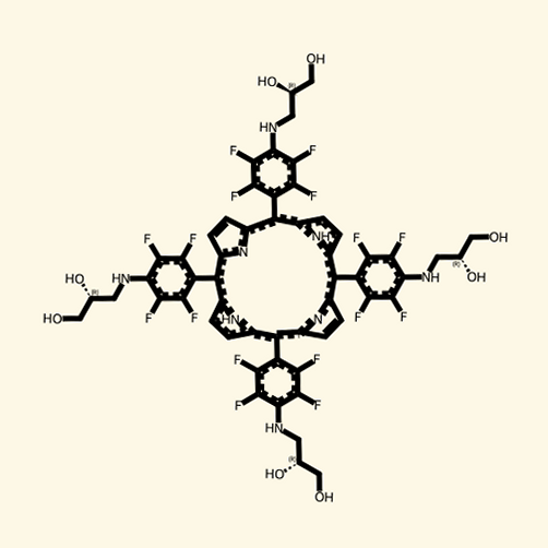 OC[C@H](O)CNc1c(F)c(F)c(-c2c3nc(c(-c4c(F)c(F)c(NC[C@@H](O)CO)c(F)c4F)c4ccc([nH]4)c(-c4c(F)c(F)c(NC[C@@H](O)CO)c(F)c4F)c4nc(c(-c5c(F)c(F)c(NC[C@@H](O)CO)c(F)c5F)c5ccc2[nH]5)C=C4)C=C3)c(F)c1F